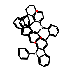 c1ccc(-n2c3ccccc3c3cc(-c4ccccc4N(c4ccccc4-c4cccc5cccc(C6CCCCC6)c45)c4cccc5sc6ccccc6c45)ccc32)cc1